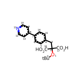 CC(C)(C)OC(Cc1ccc(-c2ccncc2)cc1)(C(=O)O)C(=O)O